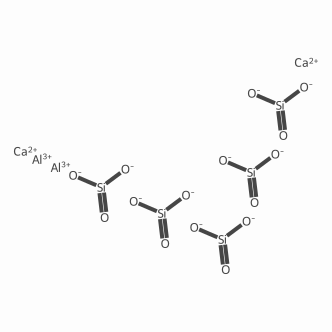 O=[Si]([O-])[O-].O=[Si]([O-])[O-].O=[Si]([O-])[O-].O=[Si]([O-])[O-].O=[Si]([O-])[O-].[Al+3].[Al+3].[Ca+2].[Ca+2]